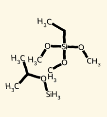 CC(C)O[SiH3].CC[Si](OC)(OC)OC